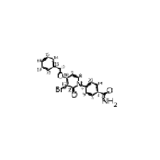 NC(=O)c1ccc(-n2ccc(OCc3ccccc3)c(Br)c2=O)cc1